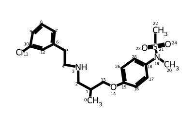 CC(CNCCc1cccc(Cl)c1)COc1ccc(N(C)S(C)(=O)=O)cc1